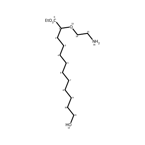 CCOC(=O)C(CCCCCCCCCCO)OCCN